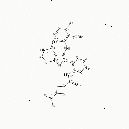 COc1c(F)cccc1Nc1c(-c2ccncc2NC(=O)C2CC(N(C)C)C2)nn2c1C(=O)NCC2